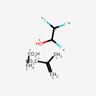 C=C(C)C(=O)O.CC(=O)O.OC(F)C(F)F